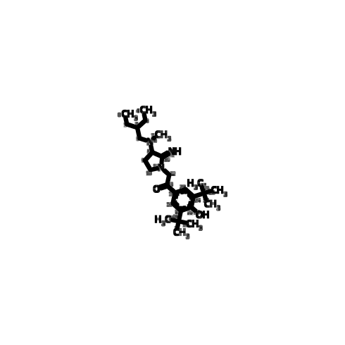 CCC(CC)CN(C)C1CCN(CC(=O)c2cc(C(C)(C)C)c(O)c(C(C)(C)C)c2)C1=N